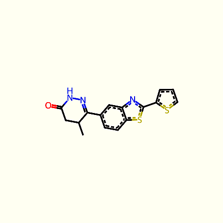 CC1CC(=O)NN=C1c1ccc2sc(-c3cccs3)nc2c1